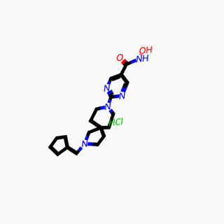 Cl.O=C(NO)c1cnc(N2CCC3(CCN(CC4CCCC4)C3)CC2)nc1